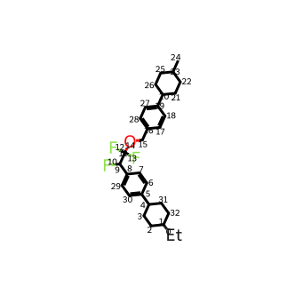 CCC1CCC(c2ccc(C(F)C(F)(F)OCc3ccc(C4CCC(C)CC4)cc3)cc2)CC1